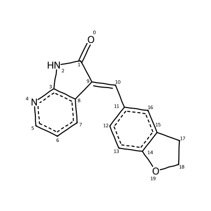 O=C1Nc2ncccc2/C1=C\c1ccc2c(c1)CCO2